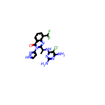 CC(Nc1nc(N)nc(N)c1Cl)c1nc2c(C(F)F)cccc2c(=O)n1-c1cc[nH]n1